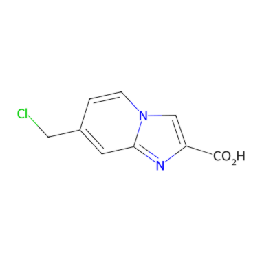 O=C(O)c1cn2ccc(CCl)cc2n1